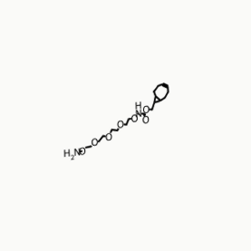 NOCCOCCOCCOCCONC(=O)OCC1C2CCC#CCCC21